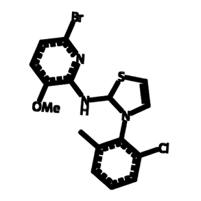 COc1ccc(Br)nc1NC1SC=CN1c1c(C)cccc1Cl